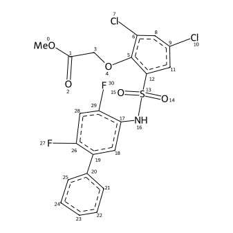 COC(=O)COc1c(Cl)cc(Cl)cc1S(=O)(=O)Nc1cc(-c2ccccc2)c(F)cc1F